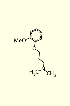 COc1ccc[c]c1OCCCN(C)C